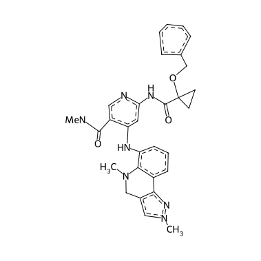 CNC(=O)c1cnc(NC(=O)C2(OCc3ccccc3)CC2)cc1Nc1cccc2c1N(C)Cc1cn(C)nc1-2